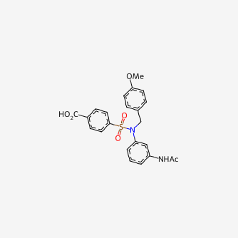 COc1ccc(CN(c2cccc(NC(C)=O)c2)S(=O)(=O)c2ccc(C(=O)O)cc2)cc1